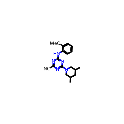 COc1ccccc1Nc1nc(C#N)nc(N2CC(C)CC(C)C2)n1